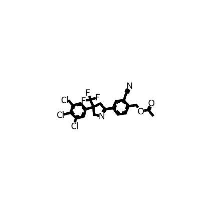 CC(=O)OCc1ccc(C2=NCC(c3cc(Cl)c(Cl)c(Cl)c3)(C(F)(F)F)C2)cc1C#N